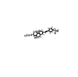 CCCCCC[C@@H]1CC[C@@H]2c3ccc(C#Cc4ccc(OC(F)F)cc4)cc3CC[C@@H]2C1